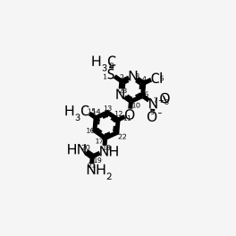 CSc1nc(Cl)c([N+](=O)[O-])c(Oc2cc(C)cc(NC(=N)N)c2)n1